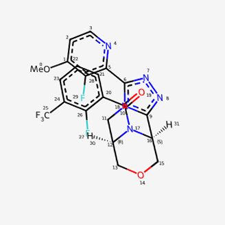 COc1ccnc(-c2nnc3n2C[C@@H]2COC[C@H]3N2C(=O)c2cccc(C(F)(F)F)c2F)c1F